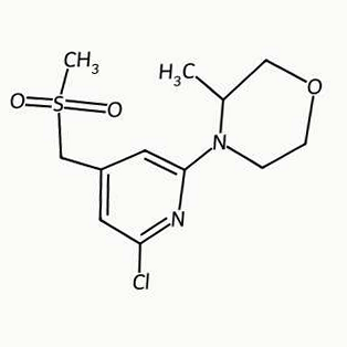 CC1COCCN1c1cc(CS(C)(=O)=O)cc(Cl)n1